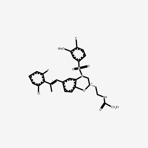 CCOC(=O)C(=O)NCC[C@H]1CN(S(=O)(=O)c2ccc(F)c(OC)c2)c2cc(/C=C(\C)c3c(F)cccc3Cl)ccc2O1